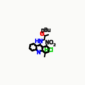 CCCCOC(C)CNc1c2ccccc2nc2c(C)ccc([N+](=O)[O-])c12.Cl